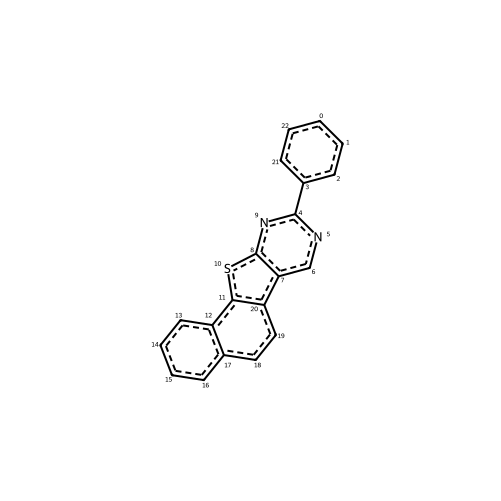 c1ccc(-c2ncc3c(n2)sc2c4ccccc4ccc32)cc1